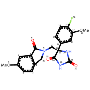 COc1ccc2c(c1)C(=O)N(C[C@@]1(c3ccc(F)c(OC)c3)NC(=O)NC1=O)C2